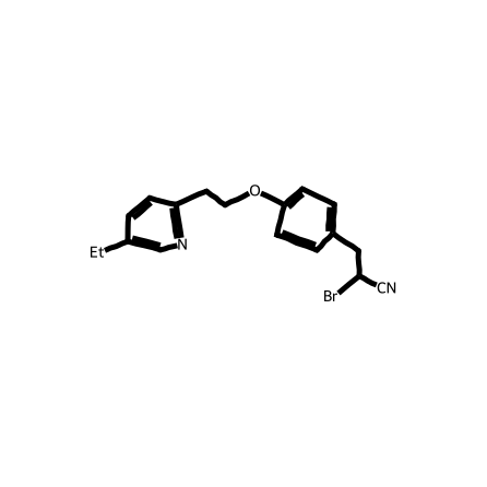 CCc1ccc(CCOc2ccc(CC(Br)C#N)cc2)nc1